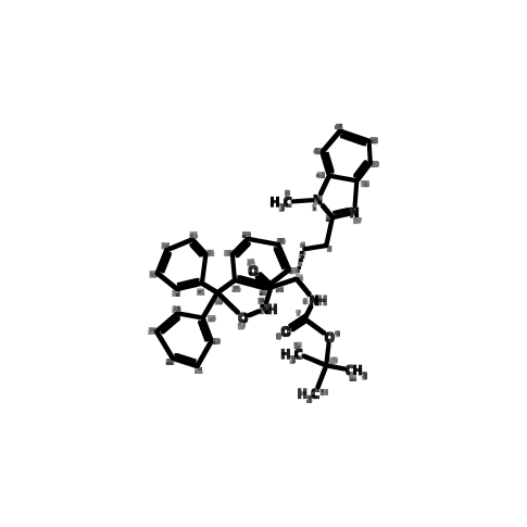 Cn1c(CC[C@H](NC(=O)OC(C)(C)C)C(=O)NOC(c2ccccc2)(c2ccccc2)c2ccccc2)nc2ccccc21